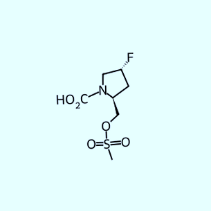 CS(=O)(=O)OC[C@@H]1C[C@@H](F)CN1C(=O)O